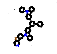 c1ccc(-c2cc(-c3ccc4c(c3)c3ccccc3n4-c3ccccc3)cc(-c3ccc4c(c3)c3ccccc3n4-c3ccc4sc5ccncc5c4c3)c2)cc1